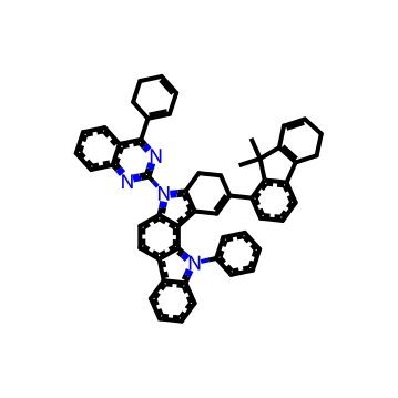 CC1(C)C2=C(CCC=C2)c2cccc(C3=Cc4c(n(-c5nc(C6=CC=CCC6)c6ccccc6n5)c5ccc6c7ccccc7n(-c7ccccc7)c6c45)CC3)c21